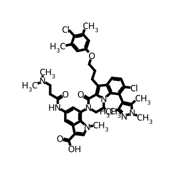 Cc1cc(OCCCc2c3n(c4c(-c5c(C)nn(C)c5C)c(Cl)ccc24)C(C)CN(c2cc(NC(=O)CCN(C)C)cc4c(C(=O)O)cn(C)c24)C3=O)cc(C)c1Cl